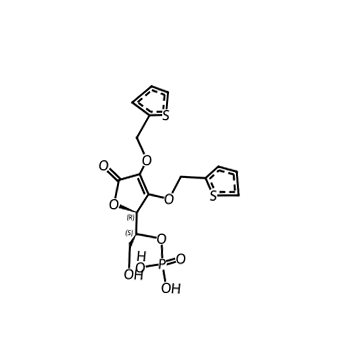 O=C1O[C@H]([C@H](CO)OP(=O)(O)O)C(OCc2cccs2)=C1OCc1cccs1